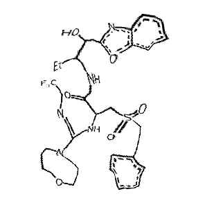 CCC(NC(=O)C(CS(=O)(=O)Cc1ccccc1)NC(=NCC(F)(F)F)N1CCOCC1)C(O)c1nc2ccccc2o1